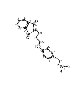 CN(C)CCc1ccc(OCCCN2C(=O)c3ccccc3C2=O)cc1